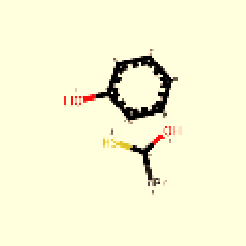 CCCC(O)S.Oc1ccccc1